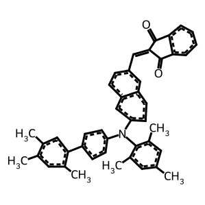 Cc1cc(C)c(N(c2ccc(-c3cc(C)c(C)cc3C)cc2)c2ccc3cc(C=C4C(=O)c5ccccc5C4=O)ccc3c2)c(C)c1